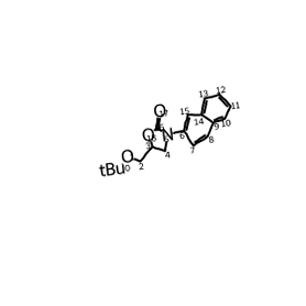 CC(C)(C)OCC1CN(c2ccc3ccccc3c2)C(=O)O1